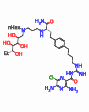 CCCCCCN(CCCN[C@@H](CCc1ccc(CCCCNC(=N)NC(=O)c2nc(Cl)c(N)nc2N)cc1)C(N)=O)C[C@H](O)[C@@H](O)[C@H](O)[C@H](O)CC